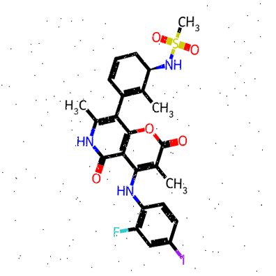 CC1=C(c2c(C)[nH]c(=O)c3c(Nc4ccc(I)cc4F)c(C)c(=O)oc23)C=CC[C@H]1NS(C)(=O)=O